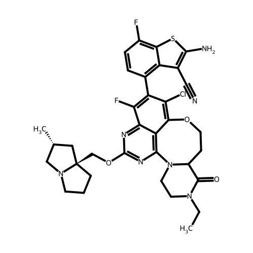 CCN1CCN2c3nc(OC[C@@]45CCCN4C[C@H](C)C5)nc4c(F)c(-c5ccc(F)c6sc(N)c(C#N)c56)c(Cl)c(c34)OCCC2C1=O